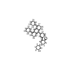 c1ccc(-c2ccc3oc4ccc(-c5c6cccc(-c7ccccc7)c6cc6c(-c7ccccc7)cccc56)cc4c3c2)cc1